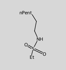 CCCCCCCNS(=O)(=O)CC